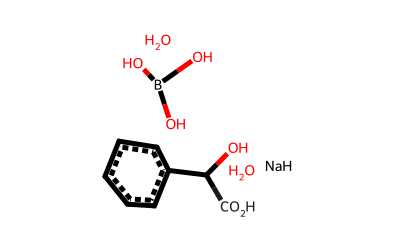 O.O.O=C(O)C(O)c1ccccc1.OB(O)O.[NaH]